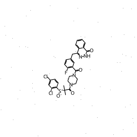 CC(C)(C(=O)N1CCN(C(=O)c2cc(Cc3n[nH]c(=O)c4ccccc34)ccc2F)CC1)[S+]([O-])c1ccc(Cl)cc1Cl